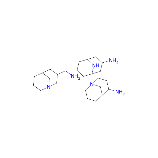 NC1CC2CCCC(C1)N2.NC1CCN2CCCC1C2.NCC1CC2CCCN(C1)C2